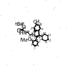 COc1ccccc1-c1c(C2CCCCC2)c2ccc(C)cc2n1CCNC(=O)OC(C)(C)C